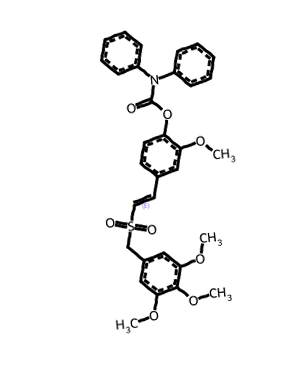 COc1cc(/C=C/S(=O)(=O)Cc2cc(OC)c(OC)c(OC)c2)ccc1OC(=O)N(c1ccccc1)c1ccccc1